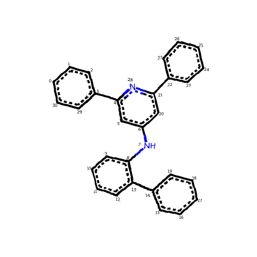 c1ccc(-c2cc(Nc3ccccc3-c3ccccc3)cc(-c3ccccc3)n2)cc1